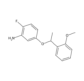 COc1ccccc1C(C)Oc1ccc(F)c(N)c1